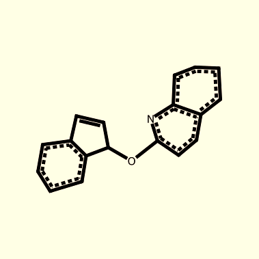 C1=CC(Oc2ccc3ccccc3n2)c2ccccc21